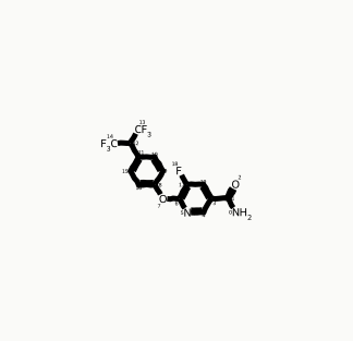 NC(=O)c1cnc(Oc2ccc(C(C(F)(F)F)C(F)(F)F)cc2)c(F)c1